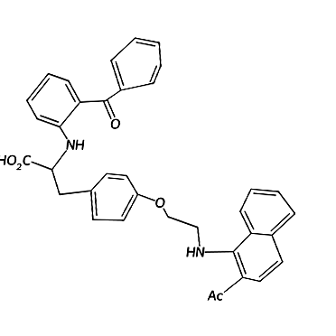 CC(=O)c1ccc2ccccc2c1NCCOc1ccc(CC(Nc2ccccc2C(=O)c2ccccc2)C(=O)O)cc1